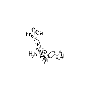 Cc1ccn(-c2cc(-c3ccncc3)ccc2[C@@H](Oc2cc(N3CCC4(CC3)CN[C@H](C(=O)O)C4)nc(N)n2)C(F)(F)F)n1